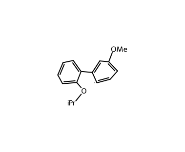 COc1cc[c]c(-c2ccccc2OC(C)C)c1